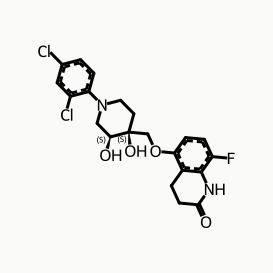 O=C1CCc2c(OC[C@@]3(O)CCN(c4ccc(Cl)cc4Cl)C[C@@H]3O)ccc(F)c2N1